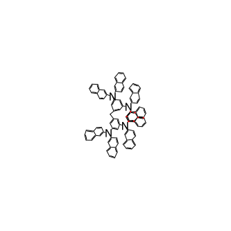 c1ccc2cc(N(c3cc(Cc4cc(N(c5ccc6ccccc6c5)c5ccc6ccccc6c5)cc(N(c5ccc6ccccc6c5)c5ccc6ccccc6c5)c4)cc(N(c4ccc5ccccc5c4)c4ccc5ccccc5c4)c3)c3ccc4ccccc4c3)ccc2c1